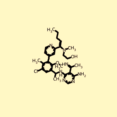 CCC/C=C(\c1cc(-c2c(C)c(Cl)cc(C(C)Nc3ncnc(N)c3C(C)=N)c2OC)ccn1)N(C)CCO